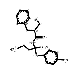 N#Cc1ccc(NC(CCC(=O)O)(NC(=O)C(CS)Cc2ccccc2)C(=O)O)cc1